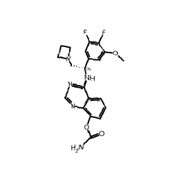 COc1cc([C@@H](CN2CCC2)Nc2ncnc3c(OC(N)=O)cccc23)cc(F)c1F